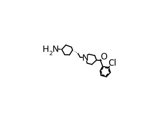 N[C@H]1CC[C@H](CCN2CCC(C(=O)c3ccccc3Cl)CC2)CC1